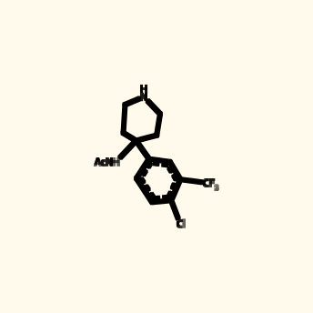 CC(=O)NC1(c2ccc(Cl)c(C(F)(F)F)c2)CCNCC1